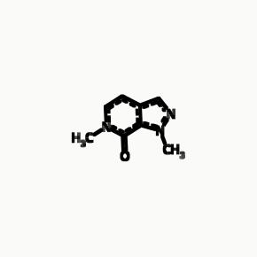 Cn1ccc2cnn(C)c2c1=O